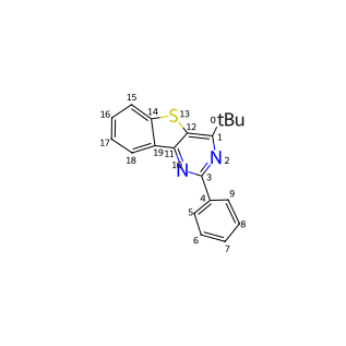 CC(C)(C)c1nc(-c2ccccc2)nc2c1sc1ccccc12